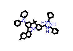 CC1C=Cc2c(ccc3c2c2cc(N(c4ccccc4)c4ccccc4)cc4c2n3-c2ccc(C3NC(c5ccccc5)NC(c5ccccc5)N3)cc2C4(C)C)C1